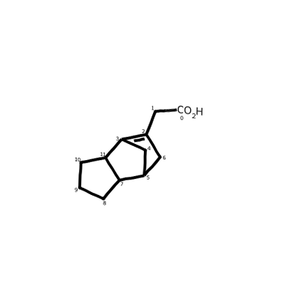 O=C(O)CC1=C2CC(C1)C1CCCC21